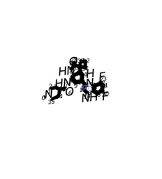 CN1CCC(C(=O)Nc2cc(/C(=C/C=N)Nc3ccc(F)cc3F)cc3c2NC(=O)C32CCC2)CC1